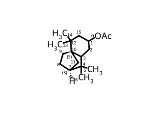 CC(=O)OC1CC2C(C)(C)[C@H]3CC[C@@]2(C3)C(C)(C)C1